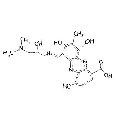 Cc1c(O)c(/C=N/CC(O)CN(C)C)c2nc3c(O)ccc(C(=O)O)c3nc2c1O